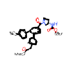 COC(=O)Cc1ccc(-c2ccc(C(=O)N3CC[C@H](NC(=O)OC(C)(C)C)C3)cc2-c2ccc(C#N)cc2)cc1